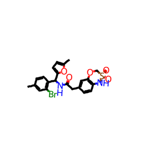 Cc1ccc(C(NC(=O)Cc2ccc3c(c2)OCS(=O)(=O)N3)c2ccc(C)o2)c(Br)c1